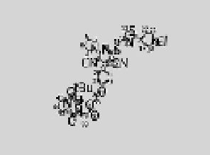 [C-]#[N+]c1c(N2CCCC2)nc(SCc2csc(-c3ccc(Cl)cc3)n2)c(C#N)c1-c1ccc(OCCOC(=O)[C@H](C)NC(=O)[C@@H]2CCCN2C(=O)OC(C)(C)C)cc1